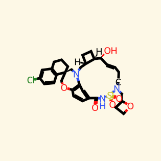 O=C1NS(=O)(=O)N(C[C@@H]2CCO2)CC/C=C/[C@H](O)[C@@H]2CC[C@H]2CN2C[C@@]3(CCCc4cc(Cl)ccc43)COc3ccc1cc32